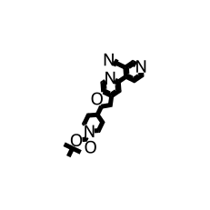 CC(C)(C)OC(=O)N1CCC(C2Cc3cc(-c4ccncc4C#N)ncc3O2)CC1